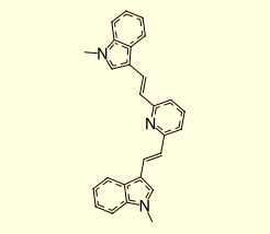 Cn1cc(/C=C/c2cccc(/C=C/c3cn(C)c4ccccc34)n2)c2ccccc21